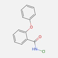 O=C(NCl)c1ccccc1Oc1ccccc1